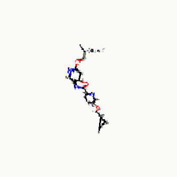 CC(=O)N[C@@H](C)COc1cc2oc(-c3ccc(OCC4CC4)cn3)nc2cn1